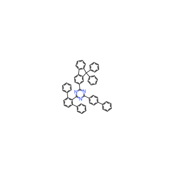 c1ccc(-c2ccc(-c3nc(-c4ccc5c(c4)C(c4ccccc4)(c4ccccc4)c4ccccc4-5)nc(-c4c(-c5ccccc5)cccc4-c4ccccc4)n3)cc2)cc1